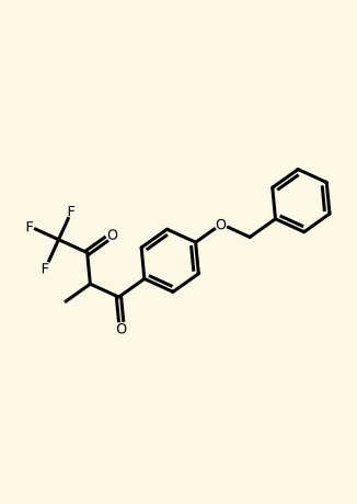 CC(C(=O)c1ccc(OCc2ccccc2)cc1)C(=O)C(F)(F)F